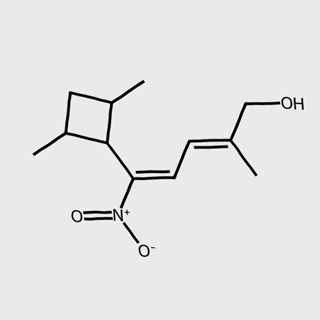 C/C(=C\C=C(/C1C(C)CC1C)[N+](=O)[O-])CO